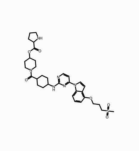 CS(=O)(=O)CCCOc1cccc2c1ccn2-c1ccnc(NC2CCC(C(=O)N3CCC(OC(=O)C4CCCN4)CC3)CC2)n1